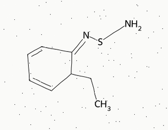 CCC1C=CC=C/C1=N/SN